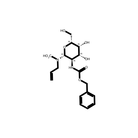 C=CCN(C(=O)O)[C@@H]1O[C@H](CO)[C@H](O)[C@H](O)[C@H]1NC(=O)OCc1ccccc1